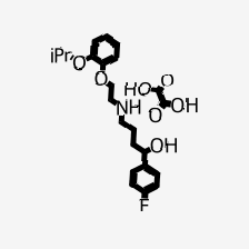 CC(C)Oc1ccccc1OCCNCCCC(O)c1ccc(F)cc1.O=C(O)C(=O)O